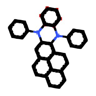 c1ccc(N(c2ccccc2)c2cc3ccc4cccc5ccc(c2N(c2ccccc2)c2ccccc2)c3c45)cc1